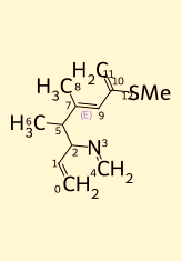 C=CC(N=C)C(C)/C(C)=C/C(=C)SC